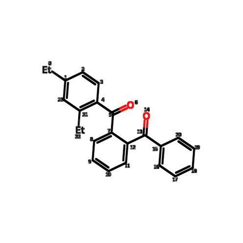 CCc1ccc(C(=O)c2ccccc2C(=O)c2ccccc2)c(CC)c1